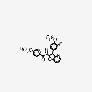 O=C(O)c1ccc(C(=O)NC2Oc3cccnc3C2c2ccc(OC(F)(F)F)c(F)c2)nc1